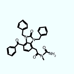 CN(C(N)=O)C(=O)Cc1ccc(C(=O)c2ccccc2)c2c1n(Cc1ccccc1)c(=O)n2Cc1ccccc1